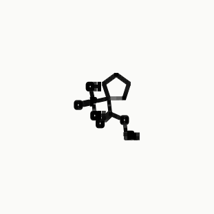 CC(C)(C)OC(=O)C1(P(=O)(O)O)CCCC1